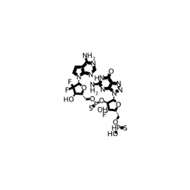 Nc1nc2c(nnn2[C@@H]2O[C@H](CO[PH](O)=S)[C@H](F)[C@H]2OP(O)(=S)OC[C@H]2O[C@@H](n3ccc4c(N)ncnc43)C(F)(F)[C@@H]2O)c(=O)[nH]1